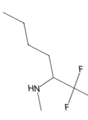 CCCCC(NC)C(F)(F)F